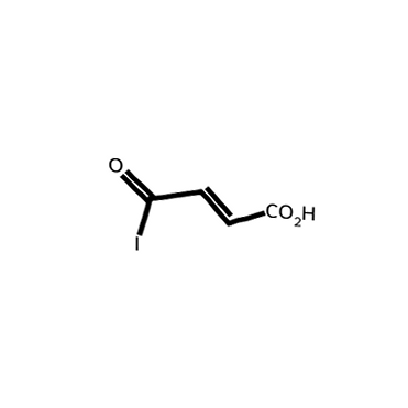 O=C(O)/C=C/C(=O)I